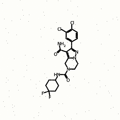 NC(=O)c1c(-c2ccc(Cl)c(Cl)c2)nn2c1CN(C(=O)NC1CCC(F)(F)CC1)CC2